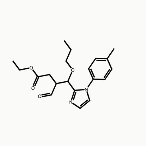 CCCOC(c1nccn1-c1ccc(C)cc1)C(C=O)CC(=O)OCC